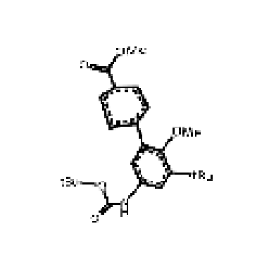 COC(=O)c1ccc(-c2cc(NC(=O)OC(C)(C)C)cc(C(C)(C)C)c2OC)cc1